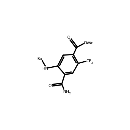 CCC(C)Nc1cc(C(=O)OC)c(C(F)(F)F)cc1C(N)=O